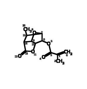 C=C(C)C(=O)OC1C2OC3C1OC(=O)C3C2C